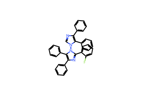 Fc1ccccc1-c1nc(-c2ccccc2)c(-c2ccccc2)n1-n1cnc(-c2ccccc2)c1-c1ccccc1